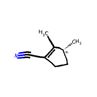 CC1=C(C#N)CC[C@H]1C